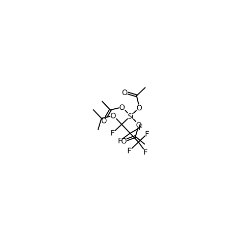 CC(=O)O[Si](OC(C)=O)(OC(C)=O)C(F)(OC(C)C)C(F)(F)C(F)(F)F